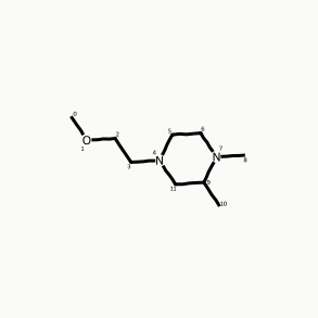 COCCN1CCN(C)C(C)C1